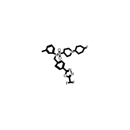 Cc1cccc(N(Cc2ccc(-c3nnc(C(F)F)o3)cc2)S(=O)(=O)C2CCN(C3CCC(F)CC3)CC2)c1